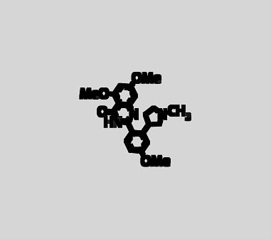 COc1ccc(-c2nc3cc(OC)cc(OC)c3c(=O)[nH]2)c(C2CCN(C)C2)c1